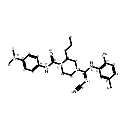 CCCC1CN(/C(=N\C#N)Nc2cc(F)ccc2F)CCN1C(=O)Nc1ccc(N(C)C)cc1